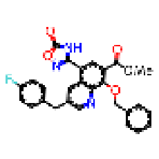 COC(=O)c1cc(-c2noc(=O)[nH]2)c2cc(Cc3ccc(F)cc3)cnc2c1OCc1ccccc1